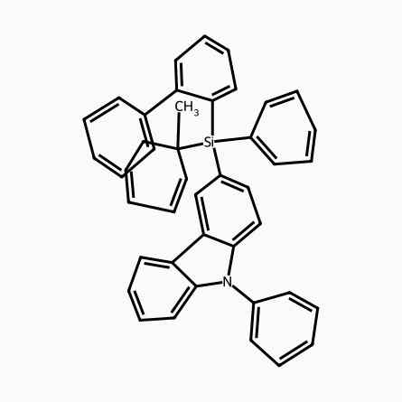 CC1([Si](c2ccccc2)(c2ccc3c(c2)c2ccccc2n3-c2ccccc2)c2ccccc2-c2ccccc2)C=CC=CC1